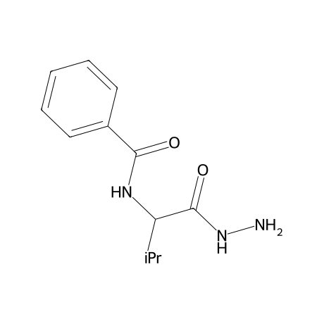 CC(C)C(NC(=O)c1ccccc1)C(=O)NN